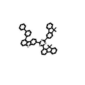 CC1(C)c2ccccc2-c2cc(-c3nc(-c4ccc5c(c4)oc4cccc(-c6cccc(-c7ccccc7)c6)c45)nc(-c4cccc5c4C(C)(C)c4ccccc4-5)n3)ccc21